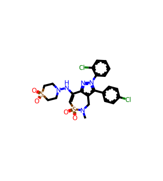 CN1Cc2c(nn(-c3ccccc3Cl)c2-c2ccc(Cl)cc2)C(NN2CCS(=O)(=O)CC2)=CS1(=O)=O